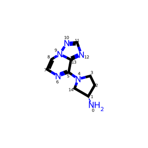 N[C@H]1CCN(c2nccn3ncnc23)C1